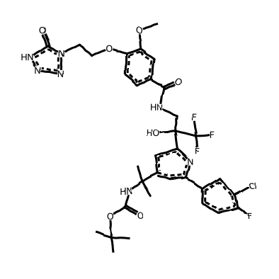 COc1cc(C(=O)NCC(O)(c2cc(C(C)(C)NC(=O)OC(C)(C)C)cc(-c3ccc(F)c(Cl)c3)n2)C(F)(F)F)ccc1OCCn1nn[nH]c1=O